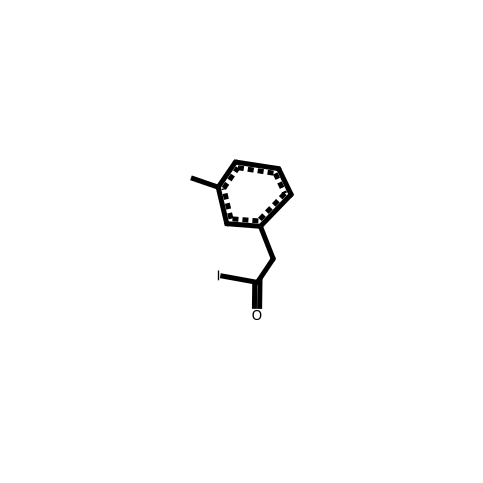 Cc1cccc(CC(=O)I)c1